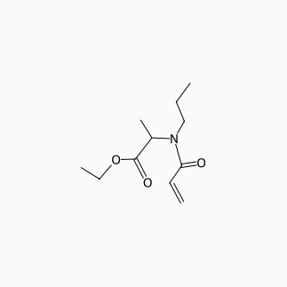 C=CC(=O)N(CCC)C(C)C(=O)OCC